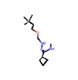 CN/C(=N\NCOCC[Si](C)(C)C)C1CCC1